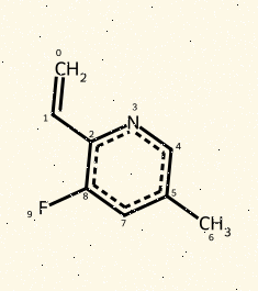 C=Cc1ncc(C)cc1F